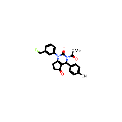 COC(=O)N1C(=O)N(c2cccc(CF)c2)C2=C(C(=O)CC2)C1c1ccc(C#N)cc1